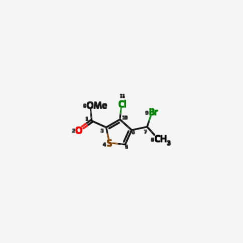 COC(=O)c1scc(C(C)Br)c1Cl